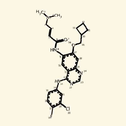 CN(C)C/C=C/C(=O)Nc1cc2c(Nc3ccc(F)c(Cl)c3)ncnc2cc1OCC1CCC1